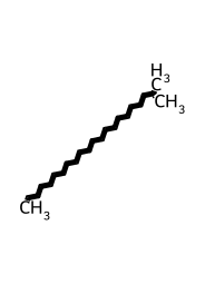 CCCCCCCCCCCCCCCCCCCC[C](C)C